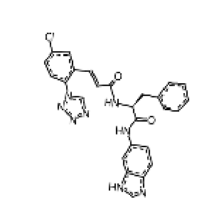 O=C(C=Cc1cc(Cl)ccc1-n1cnnn1)N[C@@H](Cc1ccccc1)C(=O)Nc1ccc2nc[nH]c2c1